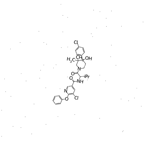 CC(C)C(NC(=O)c1cnc(Oc2ccccc2)c(Cl)c1)C(=O)N1CCC(O)(c2ccc(Cl)cc2)C(C)(C)C1